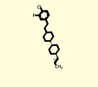 C/C=C/[C@H]1CC[C@H](C2CCC(CCc3ccc(Cl)c(F)c3)CC2)CC1